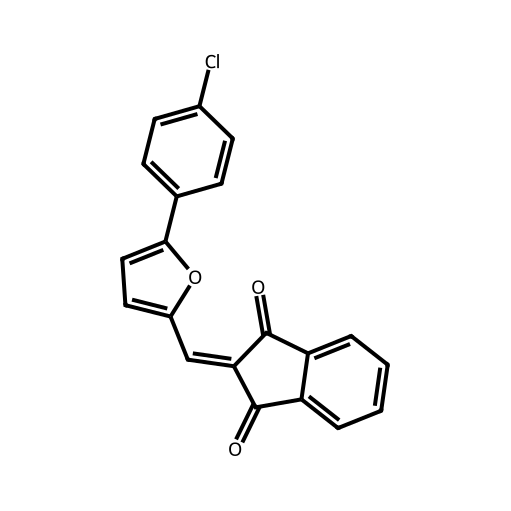 O=C1C(=Cc2ccc(-c3ccc(Cl)cc3)o2)C(=O)c2ccccc21